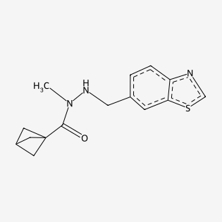 CN(NCc1ccc2ncsc2c1)C(=O)C12CC(C1)C2